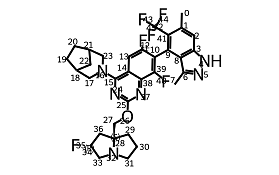 Cc1cc2[nH]nc(C)c2c(-c2c(F)cc3c(N4CC5CCC(C5)C4)nc(OC[C@@]45CCCN4C[C@H](F)C5)nc3c2F)c1C(F)(F)F